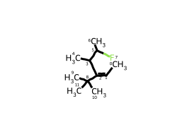 C/C=C(\C(C)C(C)F)C(C)(C)C